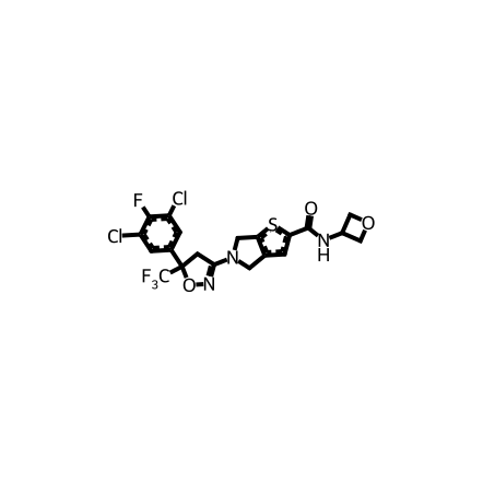 O=C(NC1COC1)c1cc2c(s1)CN(C1=NOC(c3cc(Cl)c(F)c(Cl)c3)(C(F)(F)F)C1)C2